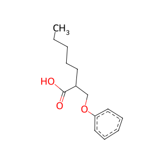 CCCCCC(COc1ccccc1)C(=O)O